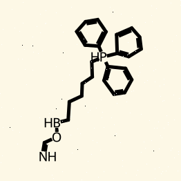 N=COBCCCCCC[PH](c1ccccc1)(c1ccccc1)c1ccccc1